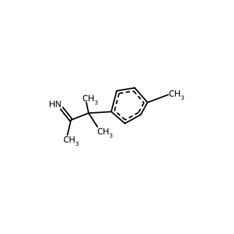 CC(=N)C(C)(C)c1ccc(C)cc1